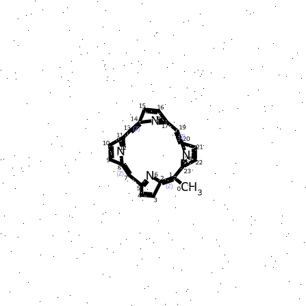 C/C1=C2\C=CC(=N2)/C=C2/C=CC(=N2)/C=C2/C=CC(=N2)/C=C2/C=CC1=N2